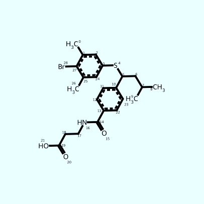 Cc1cc(SC(CC(C)C)c2ccc(C(=O)NCCC(=O)O)cc2)cc(C)c1Br